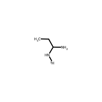 [2H]NC(N)CC